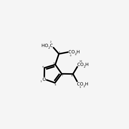 O=C(O)C(C(=O)O)c1cocc1C(C(=O)O)C(=O)O